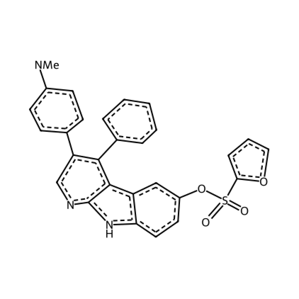 CNc1ccc(-c2cnc3[nH]c4ccc(OS(=O)(=O)c5ccco5)cc4c3c2-c2ccccc2)cc1